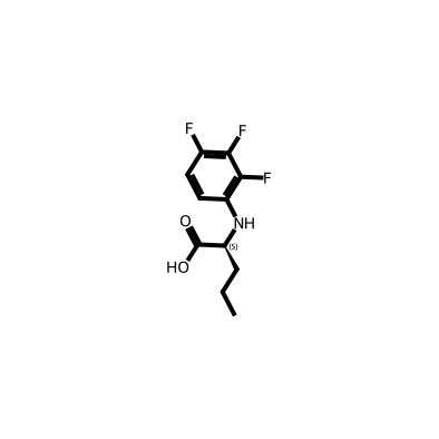 CCC[C@H](Nc1ccc(F)c(F)c1F)C(=O)O